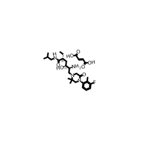 CC[C@H](C[C@H](O)[C@@H](N)CN1CC(=O)N(c2cccc(F)c2C)CC1(C)C)C(=O)NCC(C)C.O=C(O)C=CC(=O)O